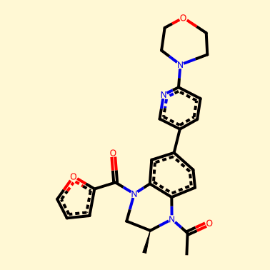 CC(=O)N1c2ccc(-c3ccc(N4CCOCC4)nc3)cc2N(C(=O)c2ccco2)C[C@@H]1C